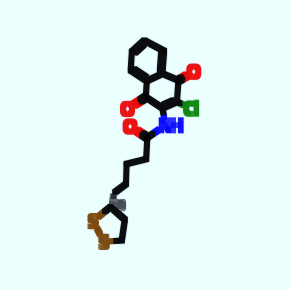 O=C(CCCC[C@@H]1CCSS1)NC1=C(Cl)C(=O)c2ccccc2C1=O